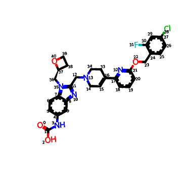 O=C(O)Nc1ccc2c(c1)nc(CN1CC=C(c3cccc(OCc4ccc(Cl)cc4F)n3)CC1)n2C[C@@H]1CCO1